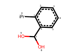 CC(C)c1ccccc1C(O)O